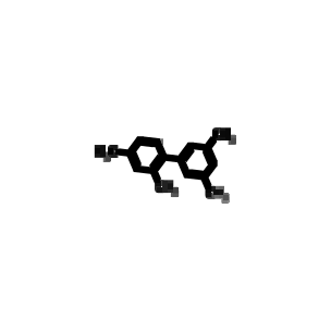 Cc1cc(C)cc(-c2[c]cc(C)cc2C)c1